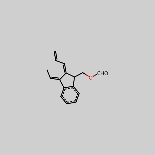 C=C/C=C1\C(=C/C)c2ccccc2C1COC=O